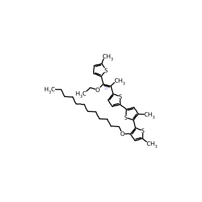 CCCCCCCCCCCCOc1cc(C)sc1-c1sc(-c2ccc(/C(C)=C(\OCC)c3ccc(C)s3)s2)cc1C